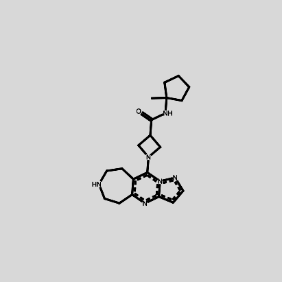 CC1(NC(=O)C2CN(c3c4c(nc5ccnn35)CCNCC4)C2)CCCC1